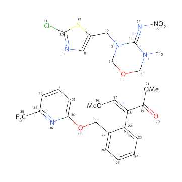 CN1COCN(Cc2cnc(Cl)s2)/C1=N/[N+](=O)[O-].CO/C=C(/C(=O)OC)c1ccccc1COc1cccc(C(F)(F)F)n1